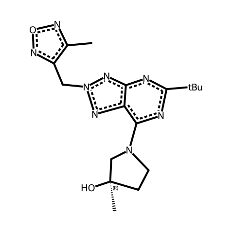 Cc1nonc1Cn1nc2nc(C(C)(C)C)nc(N3CC[C@@](C)(O)C3)c2n1